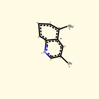 CC(C)c1cnc2cccc(C(C)(C)C)c2c1